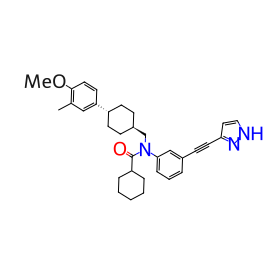 COc1ccc([C@H]2CC[C@H](CN(C(=O)C3CCCCC3)c3cccc(C#Cc4cc[nH]n4)c3)CC2)cc1C